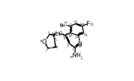 Nc1cc(NC2CCOC2)c2c(Br)cc(F)cc2n1